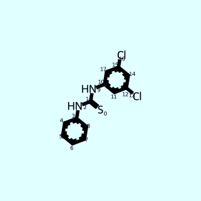 S=C(Nc1c[c]ccc1)Nc1cc(Cl)cc(Cl)c1